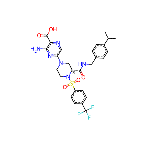 CC(C)c1ccc(CNC(=O)[C@H]2CN(c3cnc(C(=O)O)c(N)n3)CCN2S(=O)(=O)c2ccc(C(F)(F)F)cc2)cc1